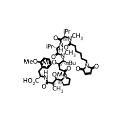 CC[C@H](C)[C@@H]([C@@H](CC(=O)N1CCC[C@H]1[C@H](OC)[C@@H](C)C(=O)N[C@@H](Cc1ccccc1OC)C(=O)O)OC)N(C)C(=O)[C@@H](NC(=O)[C@H](C(C)C)N(C)C(=O)CCCCCN1C(=O)C=CC1=O)C(C)C